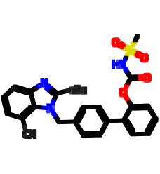 CCCCc1nc2cccc(C#N)c2n1Cc1ccc(-c2ccccc2OC(=O)NS(C)(=O)=O)cc1